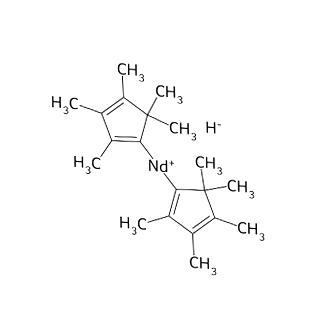 CC1=C(C)C(C)(C)[C]([Nd+][C]2=C(C)C(C)=C(C)C2(C)C)=C1C.[H-]